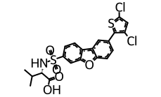 CC(C)[C@H](NS(=O)(=O)c1ccc2c(c1)oc1ccc(-c3sc(Cl)cc3Cl)cc12)C(=O)O